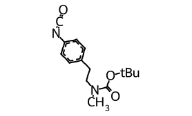 CN(CCc1ccc(N=C=O)cc1)C(=O)OC(C)(C)C